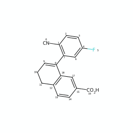 [C-]#[N+]c1ccc(F)cc1C1=CCCc2ccc(C(=O)O)cc21